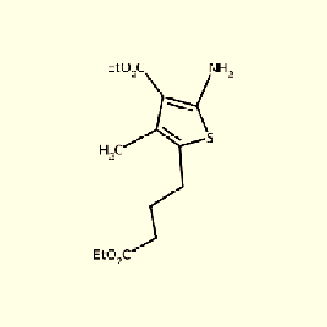 CCOC(=O)CCCc1sc(N)c(C(=O)OCC)c1C